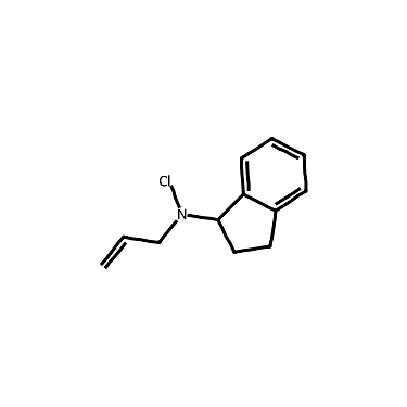 C=CCN(Cl)C1CCc2ccccc21